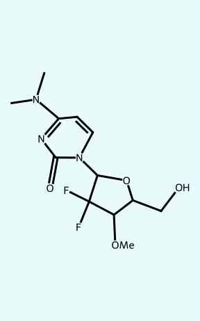 COC1C(CO)OC(n2ccc(N(C)C)nc2=O)C1(F)F